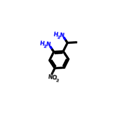 CC(N)c1ccc([N+](=O)[O-])cc1N